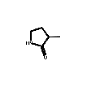 C[C]1CCNC1=O